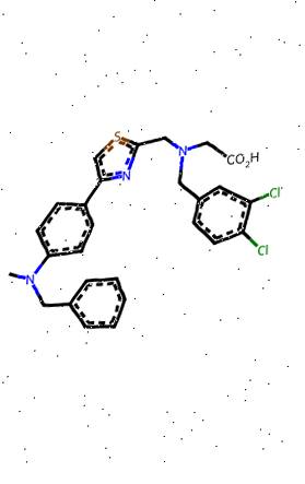 CN(Cc1ccccc1)c1ccc(-c2csc(CN(CC(=O)O)Cc3ccc(Cl)c(Cl)c3)n2)cc1